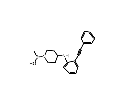 CB(O)N1CCC(Nc2ccccc2C#Cc2ccccc2)CC1